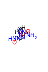 Cc1ccc(OC2C[C@H]3CC[C@@H](C2)N3c2nc(CN3CCNC(=O)C3)cc(C(N)=O)n2)nc1